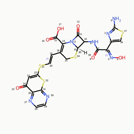 Nc1nc(/C(=N\O)C(=O)NC2C(=O)N3C(C(=O)O)=C(/C=C/Sc4cc(=O)c5nccnc5s4)CS[C@H]23)cs1